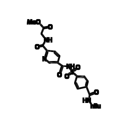 CCCCNC(=O)c1ccc(S(=O)(=O)NC(=O)c2ccc(C(=O)NCC(=O)OC)nc2)cc1